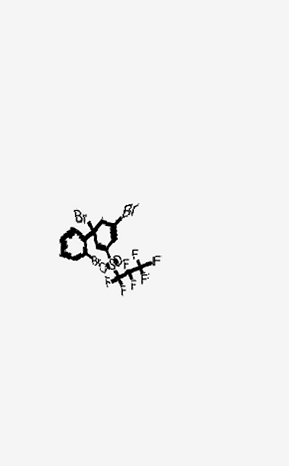 O=S(=O)(C1=CC(Br)(c2ccccc2Br)[CH]C(Br)=C1)C(F)(F)C(F)(F)C(F)(F)F